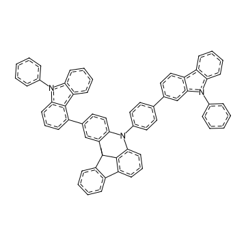 CC12c3ccccc3-c3cccc(c31)N(c1ccc(-c3ccc4c5ccccc5n(-c5ccccc5)c4c3)cc1)c1ccc(-c3cccc4c3c3ccccc3n4-c3ccccc3)cc12